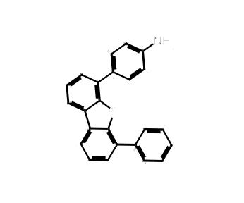 Nc1ccc(-c2cccc3c2sc2c(-c4ccccc4)cccc23)cc1